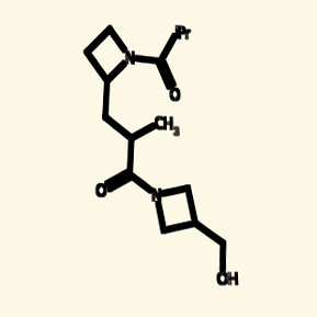 CC(C)C(=O)N1CCC1CC(C)C(=O)N1CC(CO)C1